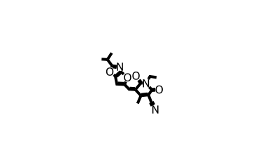 CCN1C(=O)C(C#N)=C(C)/C(=C/c2cc3oc(C(C)C)nc3o2)C1=O